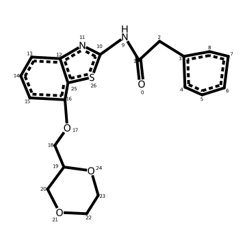 O=C(Cc1ccccc1)Nc1nc2cccc(OCC3COCCO3)c2s1